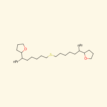 CCCC(CCCCCSCCCCCC(CCC)C1CCCO1)C1CCCO1